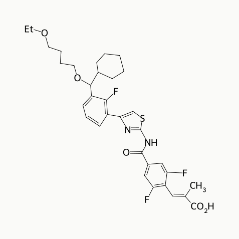 CCOCCCCOC(c1cccc(-c2csc(NC(=O)c3cc(F)c(C=C(C)C(=O)O)c(F)c3)n2)c1F)C1CCCCC1